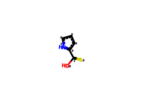 OC(=S)c1ccc[nH]1